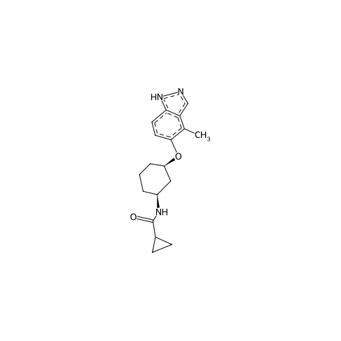 Cc1c(O[C@@H]2CCC[C@H](NC(=O)C3CC3)C2)ccc2[nH]ncc12